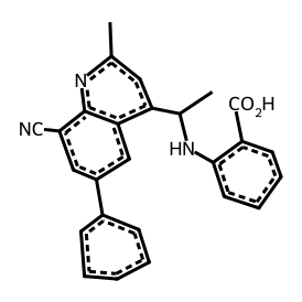 Cc1cc(C(C)Nc2ccccc2C(=O)O)c2cc(-c3ccccc3)cc(C#N)c2n1